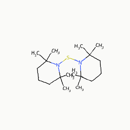 CC1(C)CCCC(C)(C)N1SN1C(C)(C)CCCC1(C)C